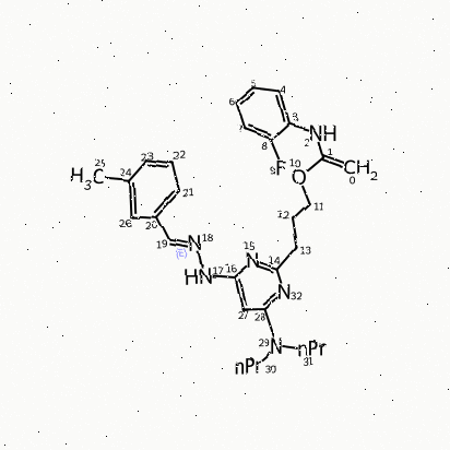 C=C(Nc1ccccc1F)OCCCc1nc(N/N=C/c2cccc(C)c2)cc(N(CCC)CCC)n1